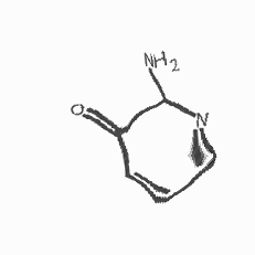 NC1N=CC=CC1=O